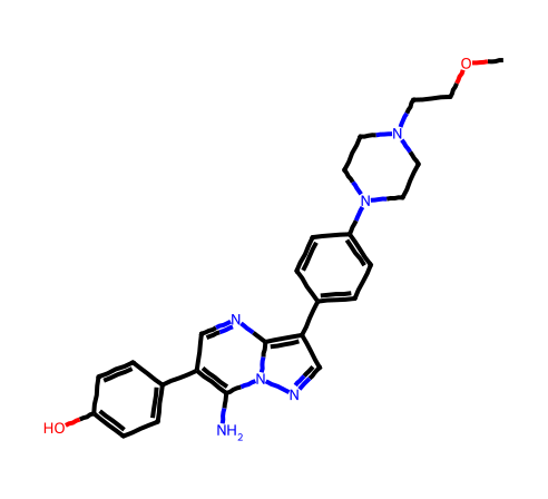 COCCN1CCN(c2ccc(-c3cnn4c(N)c(-c5ccc(O)cc5)cnc34)cc2)CC1